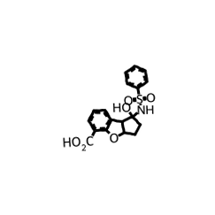 O=C(O)c1cccc2c1OC1CCC(O)(NS(=O)(=O)c3ccccc3)C21